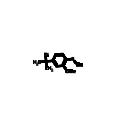 CCC(C)(C)c1ccc(SC(C)(C)C)c(OC)c1